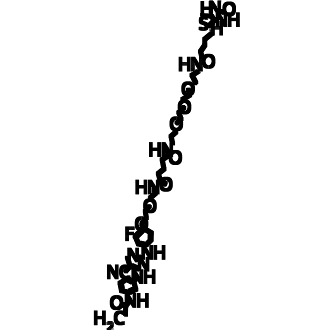 C=CC(=O)Nc1cccc(Nc2nc(Nc3ccc(OCCOCCNC(=O)CCCC(=O)NCCCOCCOCCOCCCNC(=O)CCCC[C@@H]4SC[C@@H]5NC(=O)N[C@@H]54)c(F)c3)ncc2C#N)c1